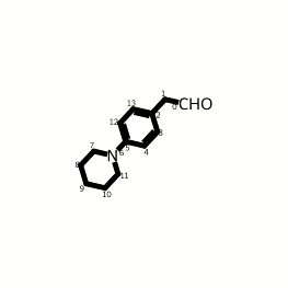 O=CCc1ccc(N2CCCCC2)cc1